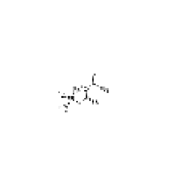 C#CC(C)OC(=O)CP(=O)(CCC)CCC